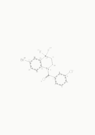 O=C(c1cccc(Cl)c1)N1CCC(F)(F)c2cc(Br)ccc21